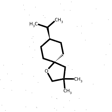 CC(C)[C@H]1CC[C@]2(CC1)CC(C)(C)CO2